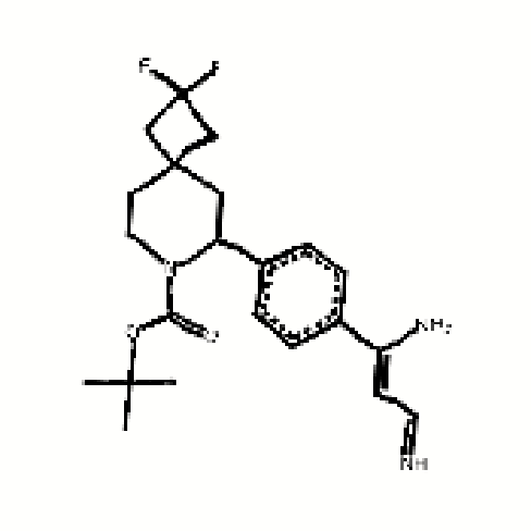 CC(C)(C)OC(=O)N1CCC2(CC1c1ccc(/C(N)=C/C=N)cc1)CC(F)(F)C2